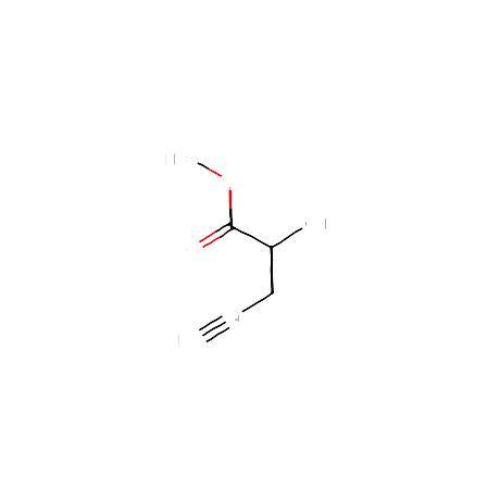 C#[Si]CC(C)C(=O)OC